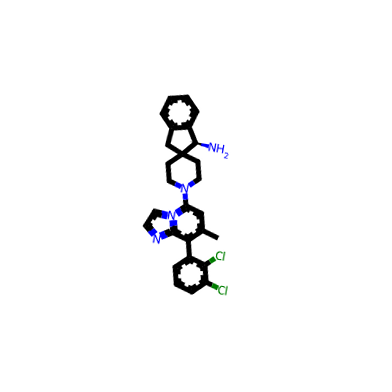 Cc1cc(N2CCC3(CC2)Cc2ccccc2[C@H]3N)n2ccnc2c1-c1cccc(Cl)c1Cl